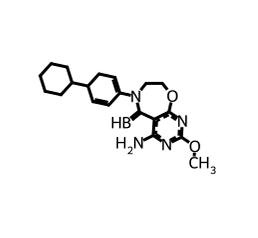 B=C1c2c(N)nc(OC)nc2OCCN1C1=CCC(C2CCCCC2)C=C1